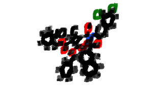 C[C@H](NC(=O)[C@H]1[C@H](C(=O)O)[C@H](C(=O)OCc2ccccc2)[C@H]1C(=O)OCc1ccccc1)[C@@H](Cc1ccc(Cl)c(Cl)c1)OC(=O)c1ccc2ccccc2c1